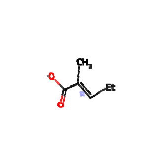 CC/C=C(\C)C([O])=O